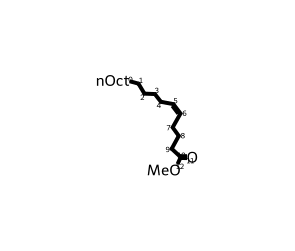 CCCCCCCCCCCC/C=C\CCCC(=O)OC